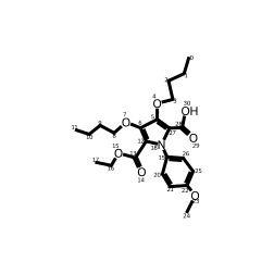 CCCCOc1c(OCCCC)c(C(=O)OCC)n(-c2ccc(OC)cc2)c1C(=O)O